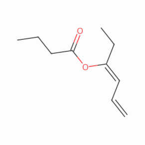 C=CC=C(CC)OC(=O)CCC